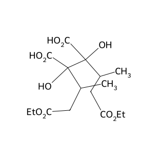 CCOC(=O)CC(C)C(O)(C(=O)O)C(O)(C(=O)O)C(C)CC(=O)OCC